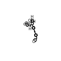 O=c1[nH]cnc(CC(CN[C@@H]2CCS(=O)(=O)C2)c2ccc(C#Cc3ccc(CN4CCOCC4)cc3)cc2)c1O